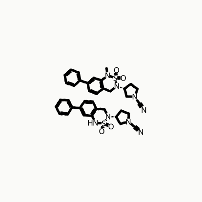 CN1c2cc(-c3ccccc3)ccc2CN([C@@H]2CCN(C#N)C2)S1(=O)=O.N#CN1CC[C@@H](N2Cc3ccc(-c4ccccc4)cc3NS2(=O)=O)C1